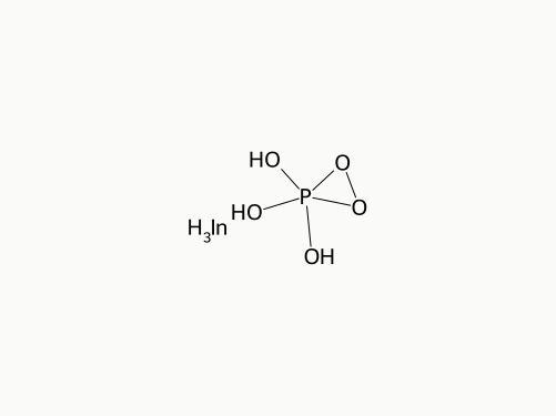 OP1(O)(O)OO1.[InH3]